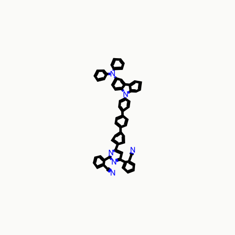 N#Cc1ccccc1-c1cc(-c2ccc(-c3ccc(-c4ccc(-n5c6ccccc6c6cc(N(c7ccccc7)c7ccccc7)ccc65)cc4)cc3)cc2)nc(-c2ccccc2C#N)n1